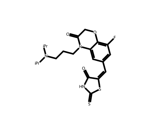 CC(C)N(CCCN1C(=O)COc2c(F)cc(C=C3SC(=S)NC3=O)cc21)C(C)C